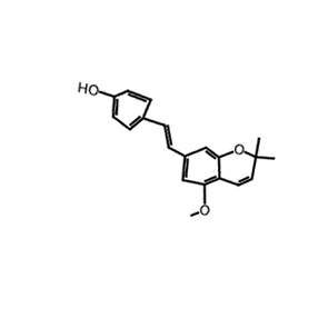 COc1cc(C=Cc2ccc(O)cc2)cc2c1C=CC(C)(C)O2